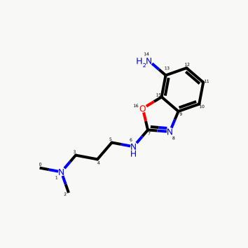 CN(C)CCCNc1nc2cccc(N)c2o1